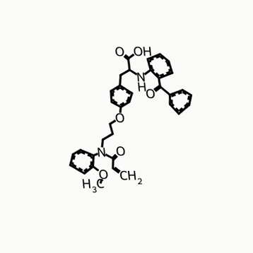 C=CC(=O)N(CCCOc1ccc(CC(Nc2ccccc2C(=O)c2ccccc2)C(=O)O)cc1)c1ccccc1OC